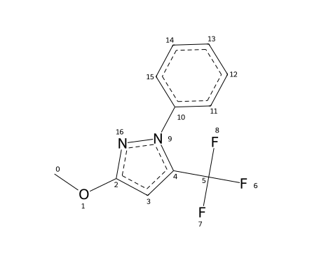 COc1cc(C(F)(F)F)n(-c2ccccc2)n1